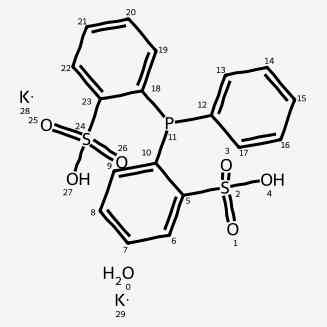 O.O=S(=O)(O)c1ccccc1P(c1ccccc1)c1ccccc1S(=O)(=O)O.[K].[K]